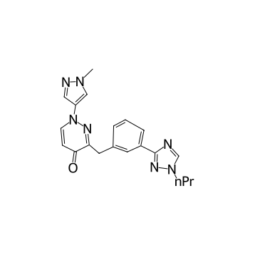 CCCn1cnc(-c2cccc(Cc3nn(-c4cnn(C)c4)ccc3=O)c2)n1